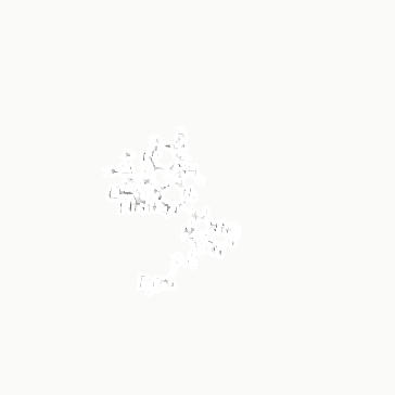 Nc1nc(C2=CN3NCN=C3C(CCCC(F)(F)F)=N2)nc2c1C(c1ccc(F)cn1)(C1CC1)C(=O)N2